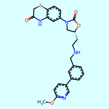 COc1ccc(-c2cccc(CNCC[C@@H]3CN(c4ccc5c(c4)NC(=O)CS5)C(=O)O3)c2)cn1